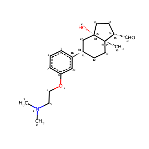 CN(C)CCOc1cccc([C@H]2CC[C@]3(C)[C@@H](C=O)CC[C@]3(O)C2)c1